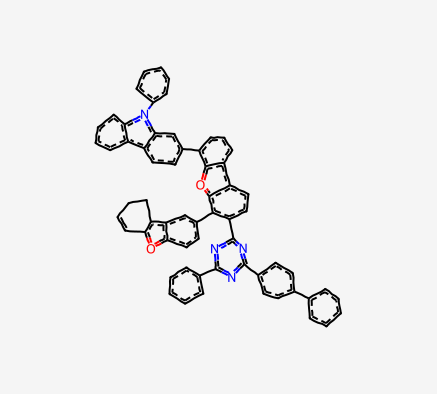 C1=Cc2oc3ccc(-c4c(-c5nc(-c6ccccc6)nc(-c6ccc(-c7ccccc7)cc6)n5)ccc5c4oc4c(-c6ccc7c8ccccc8n(-c8ccccc8)c7c6)cccc45)cc3c2CC1